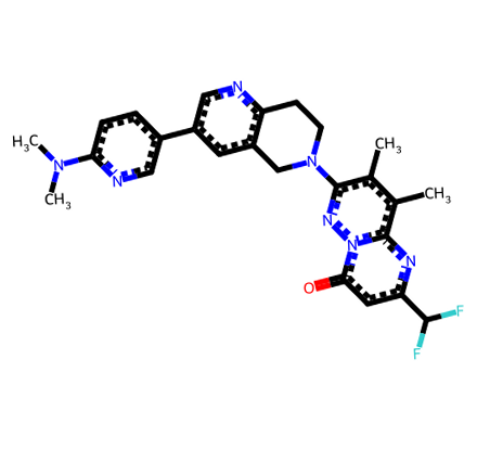 Cc1c(N2CCc3ncc(-c4ccc(N(C)C)nc4)cc3C2)nn2c(=O)cc(C(F)F)nc2c1C